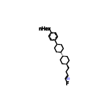 CCCCCCc1ccc(C2CCC([C@H]3CC[C@H](CC/C=C/F)CC3)CC2)cc1